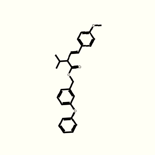 COc1ccc(C=CC(C(=O)OCc2cccc(Oc3ccccc3)c2)C(C)C)cc1